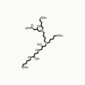 CCCCCCCCCCCCCCNC(O)CCNCC(O)CN(CCCCCCCCCCCCCC)CCCCN(CCCCCCCCCCCCCC)CC(O)CNCCC